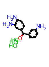 Cl.Cl.Cl.Nc1cccc(C(=O)c2ccc(N)c(N)c2)c1